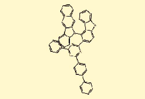 c1ccc(-c2ccc(-c3nc(-c4ccccc4)nc(-c4ccc5oc6ccccc6c5c4-n4c5ccccc5c5cc6ccccc6cc54)n3)cc2)cc1